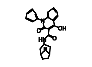 CN1C2CCC1CC(NC(=O)c1c(O)c3ccccc3n(-c3ccccc3)c1=O)C2